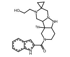 [2H]C12CN(C(=O)c3cc4ccccc4[nH]3)CCC1NN1CC3(CC3)N(CCO)CC12